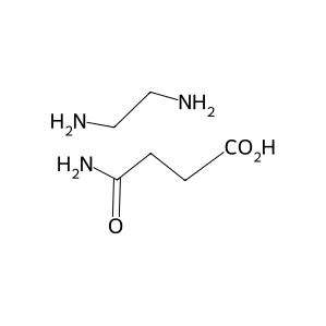 NC(=O)CCC(=O)O.NCCN